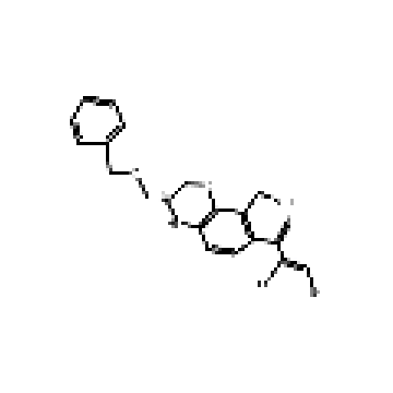 CC/C=C(\CC)C(=O)c1ccc2c(c1CO)OC[C@@H](COCc1ccccc1)N2